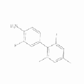 Cc1cc(C)c(-c2ccc(N)c(F)c2)c(C)c1